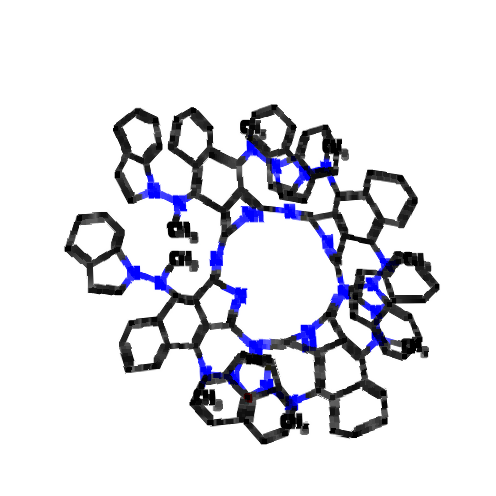 CN(c1c2c(c(N(C)n3ccc4ccccc43)c3ccccc13)-c1nc-2nc2[nH]c(nc3nc(nc4[nH]c(n1)c1c(N(C)n5ccc6ccccc65)c5ccccc5c(N(C)n5ccc6ccccc65)c41)-c1c-3c(N(C)n3ccc4ccccc43)c3ccccc3c1N(C)n1ccc3ccccc31)c1c(N(C)n3ccc4ccccc43)c3ccccc3c(N(C)n3ccc4ccccc43)c21)n1ccc2ccccc21